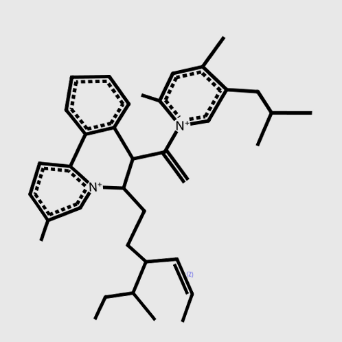 C=C(C1c2ccccc2-c2ccc(C)c[n+]2C1CCC(/C=C\C)C(C)CC)[n+]1cc(CC(C)C)c(C)cc1C